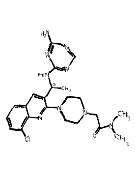 C[C@H](Nc1ncnc(N)n1)c1cc2cccc(Cl)c2nc1N1CCN(CC(=O)N(C)C)CC1